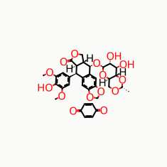 COc1cc([C@@H]2c3cc4c(cc3[C@@H](O[C@@H]3O[C@@H]5CO[C@@H](C)O[C@H]5[C@H](O)[C@H]3O)[C@H]3COC(=O)[C@H]23)OCO4)cc(OC)c1O.O=C1C=CC(=O)C=C1